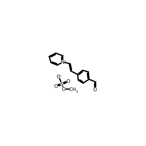 COS(=O)(=O)[O-].O=Cc1ccc(C=C[n+]2ccccc2)cc1